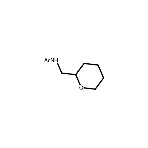 CC(=O)NCC1CCCCO1